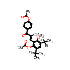 CCOc1c(C(C)(C)CC)cc(C(C)(C)CC)c(OC(=O)C(C)(C)C)c1C=C(OC)C(=O)c1ccc(OC(=O)C(C)(C)C)cc1